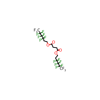 O=C(CCC(=O)OCCC(F)(F)C(F)(F)C(F)(F)C(F)(F)F)OCCC(F)(F)C(F)(F)C(F)(F)C(F)(F)F